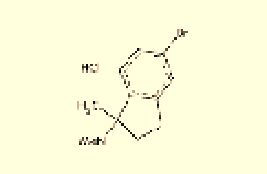 CNC1(C)CCc2cc(Br)ccc21.Cl